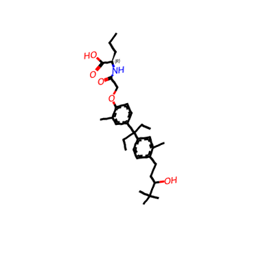 CCC[C@@H](NC(=O)COc1ccc(C(CC)(CC)c2ccc(CCC(O)C(C)(C)C)c(C)c2)cc1C)C(=O)O